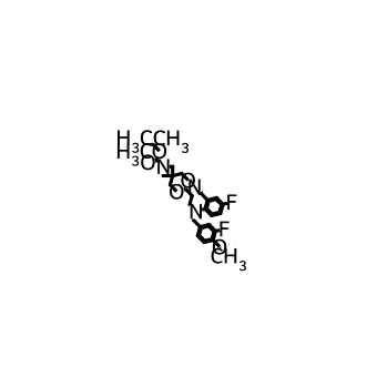 COc1ccc(CN(CCC2OCC3(CO2)CN(C(=O)OC(C)(C)C)C3)c2ccc(F)cc2C#N)cc1F